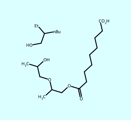 CC(O)COC(C)COC(=O)CCCCCCCC(=O)O.CCCCC(CC)CO